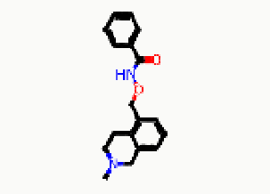 CN1CCc2c(CONC(=O)c3ccccc3)cccc2C1